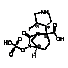 O=C1N(OS(=O)(=O)O)[C@@H]2CC[C@@](C(=O)O)([C@H]3CCNC[C@@H]3F)N1C2